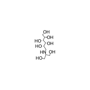 OCC(CO)NC[C@H](O)[C@@H](O)[C@H](O)[C@H](O)CO